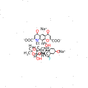 CC1(C)O[C@@H]2C[C@H]3[C@@H]4C[C@H](F)C5=CC(=O)C=C[C@]5(C)[C@H]4[C@@H](O)C[C@]3(C)[C@]2(C(=O)CO)O1.CCCc1c2oc(C(=O)[O-])cc(=O)c2cc2c(=O)cc(C(=O)[O-])n(CC)c12.[Na+].[Na+]